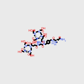 CN[C@@H](CCC(N)=O)C(=O)NCc1ccc(CNC(=O)C(CNC(=O)CCC(C(=O)O)N2CCN(CC(=O)O)CCN(CC(=O)O)CCN(CC(=O)O)CC2)NC(=O)CCC(C(=O)O)N2CCN(CC(=O)O)CCN(CC(=O)O)CCN(CC(=O)O)CC2)cc1